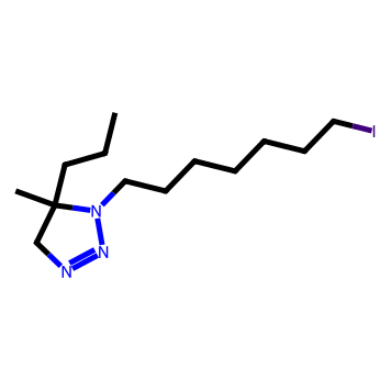 CCCC1(C)CN=NN1CCCCCCCI